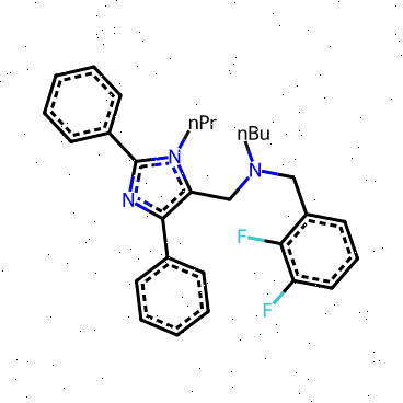 CCCCN(Cc1cccc(F)c1F)Cc1c(-c2ccccc2)nc(-c2ccccc2)n1CCC